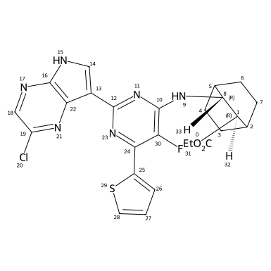 CCOC(=O)[C@@H]1C2CCC(CC2)[C@H]1Nc1nc(-c2c[nH]c3ncc(Cl)nc23)nc(-c2cccs2)c1F